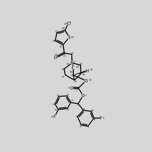 O=C(OC(c1cccc(F)c1)c1cccc(F)c1)O[C@H]1C[N+]2(CC(=O)c3ccc(Cl)s3)CCC1CC2